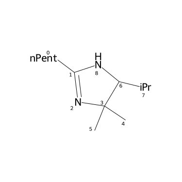 CCCCCC1=NC(C)(C)C(C(C)C)N1